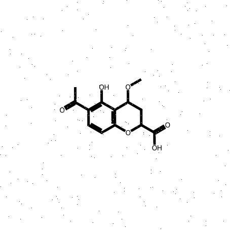 COC1CC(C(=O)O)Oc2ccc(C(C)=O)c(O)c21